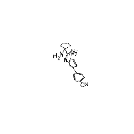 N#Cc1ccc(-c2ccc3[nH]c(C4(N)CCCC4)nc3c2)cc1